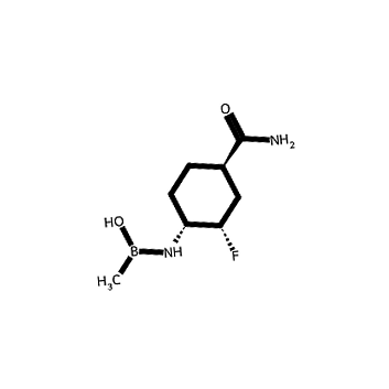 CB(O)N[C@@H]1CC[C@@H](C(N)=O)C[C@@H]1F